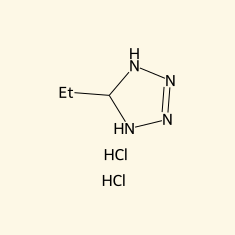 CCC1NN=NN1.Cl.Cl